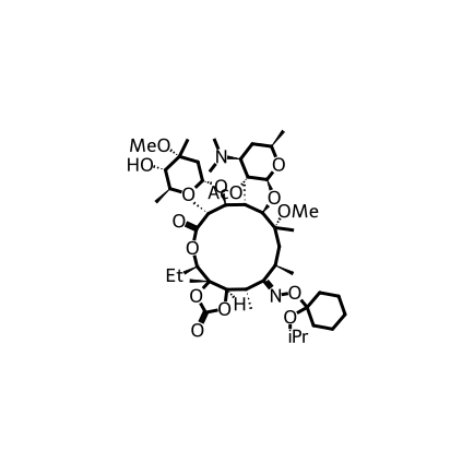 CC[C@H]1OC(=O)[C@H](C)[C@@H](O[C@H]2C[C@@](C)(OC)[C@@H](O)[C@H](C)O2)[C@H](C)[C@@H](O[C@@H]2O[C@H](C)C[C@H](N(C)C)[C@H]2OC(C)=O)[C@](C)(OC)C[C@@H](C)/C(=N\OC2(OC(C)C)CCCCC2)[C@H](C)[C@H]2OC(=O)O[C@@]21C